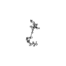 Cc1ncsc1-c1ccc(CNC(=O)C2C[C@@H](O)CN2C(=O)[C@@H](NC(=O)COCCOCCCCCC(=O)NCCCn2c(CNc3cccc(C(=O)NCc4c(F)cccc4F)c3)nnc2-c2ccncn2)C(C)(C)C)cc1